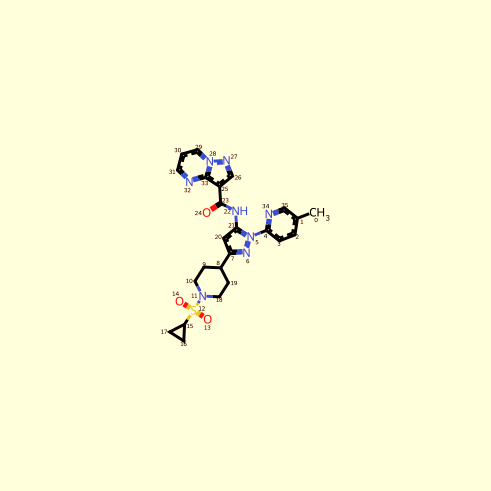 Cc1ccc(-n2nc(C3CCN(S(=O)(=O)C4CC4)CC3)cc2NC(=O)c2cnn3cccnc23)nc1